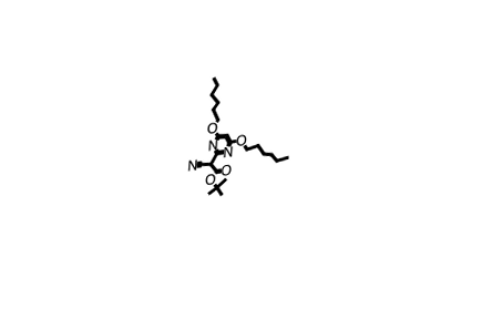 CCCCCCOc1cc(OCCCCCC)nc(C(C#N)C(=O)OC(C)(C)C)n1